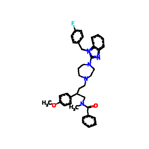 COc1ccc(C(CCN2CCCN(c3nc4ccccc4n3Cc3ccc(F)cc3)CC2)CN(C)C(=O)c2ccccc2)cc1